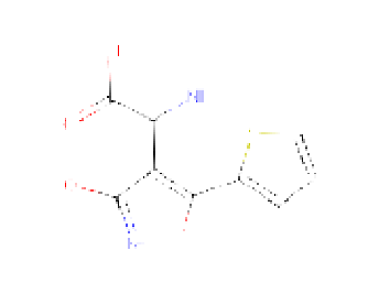 NC(C(=O)O)c1c(O)noc1-c1cccs1